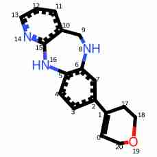 C1=C(c2ccc3c(c2)NCc2cccnc2N3)CCOC1